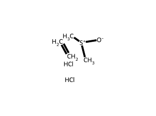 C=C.C[S+](C)[O-].Cl.Cl